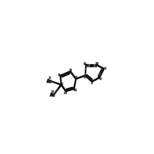 CC(=O)C1(C(C)=O)C=CC(c2ccccc2)C=C1